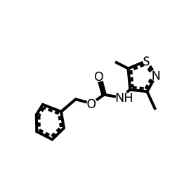 Cc1nsc(C)c1NC(=O)OCc1ccccc1